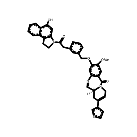 COc1cc2c(cc1OCc1cccc(CC(=O)N3CCc4c3cc(O)c3ccccc43)c1)N=C[C@@H]1CC(c3ccsc3)=CCN1C2=O